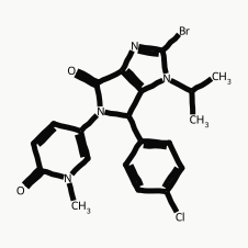 CC(C)n1c(Br)nc2c1C(c1ccc(Cl)cc1)N(c1ccc(=O)n(C)c1)C2=O